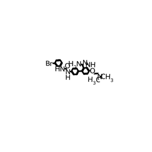 CN(C)CCOc1ccc(-c2ccc(NC(=O)Nc3cccc(Br)c3)cc2)c2c(N)n[nH]c12